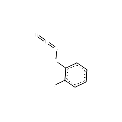 [N-]=[N+]=NSc1ccccc1S